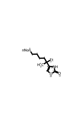 CCCCCCCCCCCCCC(C)(CC)c1coc(=O)[nH]1